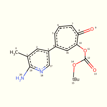 Cc1cc(-c2cccc(=O)c(OC(=O)OC(C)(C)C)c2)cnc1N